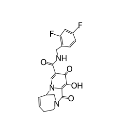 O=C(NCc1ccc(F)cc1F)c1cn2c(c(O)c1=O)C(=O)N1CCC=CC2C1